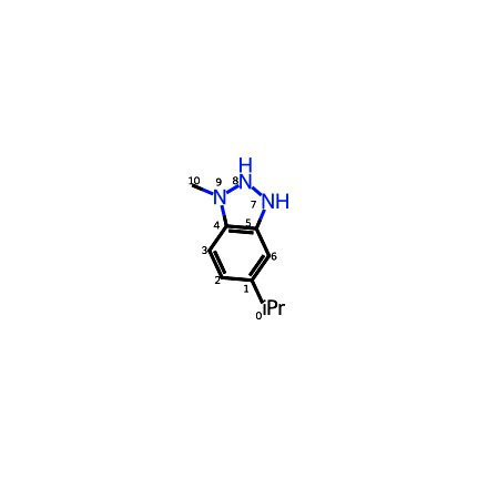 CC(C)c1ccc2c(c1)NNN2C